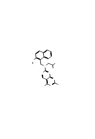 CCOc1ccc2ccccc2c1CN(CC(O)C(=O)O)c1ncc2c(N)nc(N)nc2n1